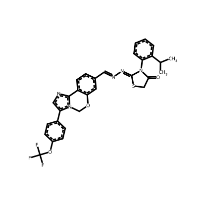 CC(C)c1ccccc1N1C(=O)CSC1=NN=Cc1ccc2c(c1)OCn1c(-c3ccc(OC(F)(F)F)cc3)cnc1-2